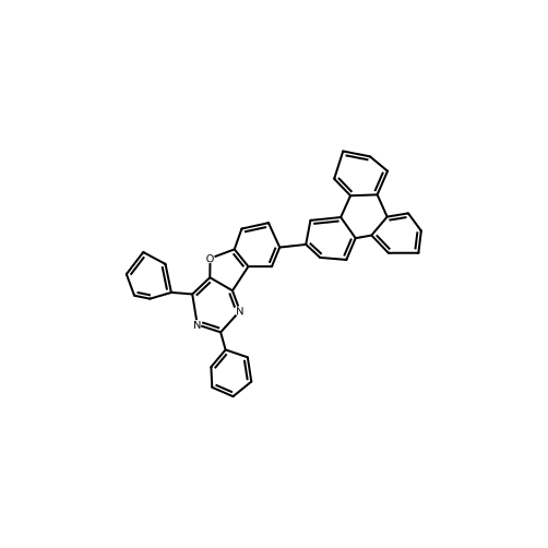 c1ccc(-c2nc(-c3ccccc3)c3oc4ccc(-c5ccc6c7ccccc7c7ccccc7c6c5)cc4c3n2)cc1